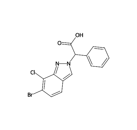 O=C(O)C(c1ccccc1)n1cc2ccc(Br)c(Cl)c2n1